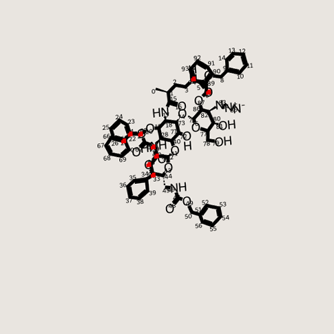 C[C@@H](CCNC(=O)OCc1ccccc1)C(=O)N[C@@H]1C(OCc2ccccc2)[C@H](NC(=O)OCc2ccccc2)C(O[C@H]2O[C@H](CNC(=O)OCc3ccccc3)CCC2NC(=O)OCc2ccccc2)C(O)[C@H]1O[C@H]1OC(CO)[C@H](O)[C@H](N=[N+]=[N-])C1OCc1ccccc1